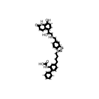 O=C(O)Nc1cc(CCCCn2nnc3cc(CNCC(O)c4ccc(O)c5[nH]c(=O)ccc45)ccc32)ccc1-c1ccccc1